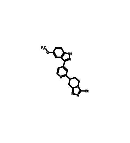 CCc1nnc2n1CCN(c1cc(-c3n[nH]c4ccc(OC(F)(F)F)cc34)ccn1)C2